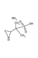 CC(C)(C1CN1)S(=O)(=O)O.N